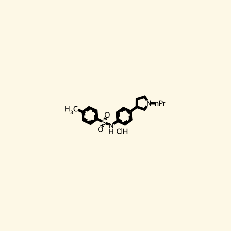 CCCN1CCC(c2ccc(NS(=O)(=O)c3ccc(C)cc3)cc2)C1.Cl